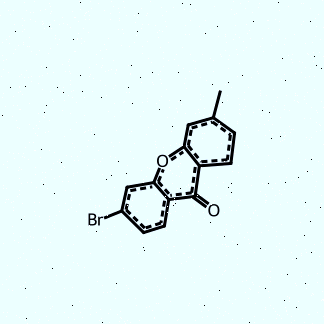 Cc1ccc2c(=O)c3ccc(Br)cc3oc2c1